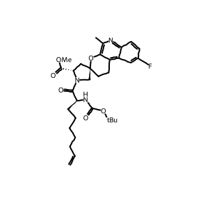 C=CCCCCC[C@H](NC(=O)OC(C)(C)C)C(=O)N1C[C@@]2(CCc3c(c(C)nc4ccc(F)cc34)O2)C[C@H]1C(=O)OC